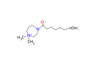 CCCCCCCCCCCCCCCC(=O)N1CCC[N+](C)(C)CC1